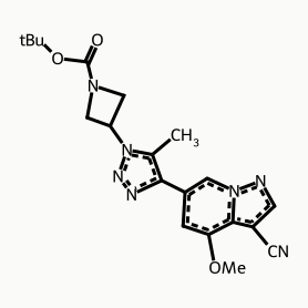 COc1cc(-c2nnn(C3CN(C(=O)OC(C)(C)C)C3)c2C)cn2ncc(C#N)c12